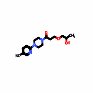 CC(O)COCCC(=O)N1CCN(c2ccc(C#N)cn2)CC1